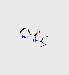 CCC1(NC(=O)c2cccnc2)CC1